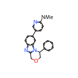 CNc1ccc(-c2ccc3nc4n(c3c2)C(c2ccccc2)COC4)cn1